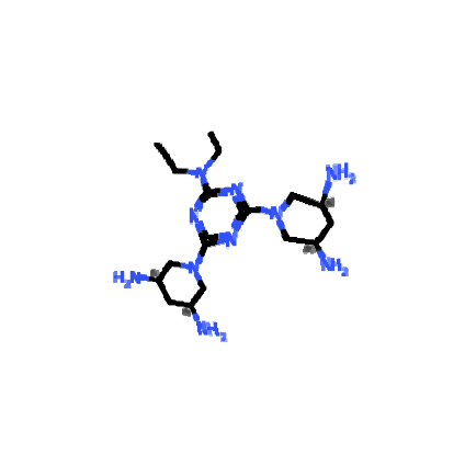 CCN(CC)c1nc(N2C[C@H](N)C[C@H](N)C2)nc(N2C[C@H](N)C[C@H](N)C2)n1